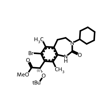 COC(=O)[C@@H](OC(C)(C)C)c1c(C)c2c(c(C)c1Br)CCN(C1CCCCC1)C(=O)N2